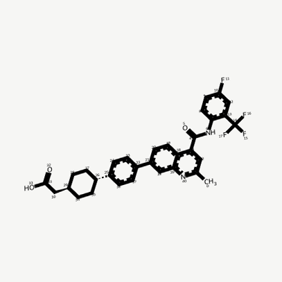 Cc1cc(C(=O)Nc2ccc(F)cc2C(F)(F)F)c2ccc(-c3ccc([C@H]4CC[C@H](CC(=O)O)CC4)cc3)cc2n1